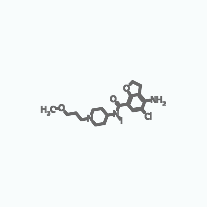 COCCCN1CCC(N(I)C(=O)c2cc(Cl)c(N)c3c2OCC3)CC1